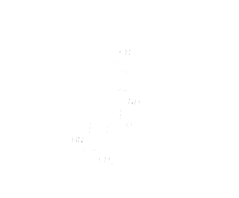 COc1ccc2[nH]c(C(=O)c3ccc4c(c3)C(C)CN4)cc2c1